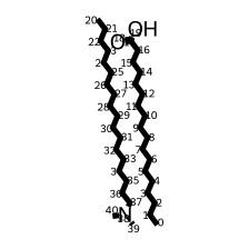 CCCCCCCCCCCCCCCCCC(=O)O.CCCCCCCCCCCCCCCCCCN(C)C